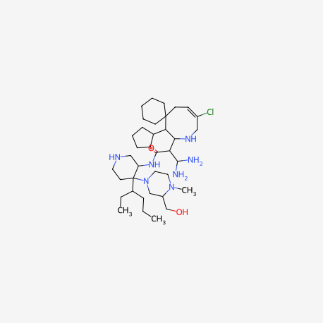 CCCC(CC)C1(N2CCN(C)C(CO)C2)CCNCC1NC(=O)C(C(N)N)C1NC/C(Cl)=C\CC2(CCCCC2)C1C1CCCC1